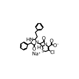 O=C([O-])C1=C(Cl)CS[C@H]2C(N3C(=O)C(c4ccccc4)NC3CCc3ccccc3)C(=O)N12.[Na+]